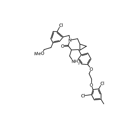 COCCc1ccc(Cl)c(CN(CC2CC2)C(=O)C(CN)Cc2ccc(OCCOc3c(Cl)cc(C)cc3Cl)cc2)c1